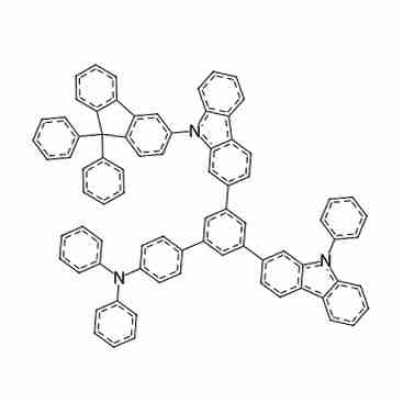 c1ccc(N(c2ccccc2)c2ccc(-c3cc(-c4ccc5c6ccccc6n(-c6ccccc6)c5c4)cc(-c4ccc5c6ccccc6n(-c6ccc7c(c6)-c6ccccc6C7(c6ccccc6)c6ccccc6)c5c4)c3)cc2)cc1